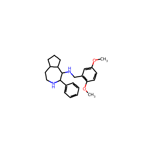 COc1ccc(OC)c(CNC2C(c3ccccc3)NCCC3CCCC32)c1